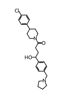 O=C(CCC(O)c1ccc(CN2CCCC2)cc1)N1CCC(c2ccc(Cl)cc2)CC1